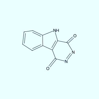 O=C1N=NC(=O)c2c1[nH]c1ccccc21